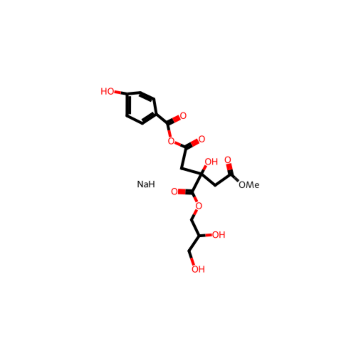 COC(=O)CC(O)(CC(=O)OC(=O)c1ccc(O)cc1)C(=O)OCC(O)CO.[NaH]